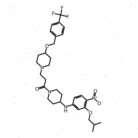 CC(C)COc1cc(NC2CCN(C(=O)CCN3CCC(OCc4ccc(C(F)(F)F)cc4)CC3)CC2)ccc1[N+](=O)[O-]